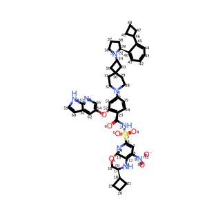 O=C(NS(=O)(=O)c1cc([N+](=O)[O-])c2c(n1)OC[C@H](C1CCC1)N2)c1ccc(N2CCC3(CC2)CC(N2CCC[C@H]2c2ccccc2C2CCC2)C3)cc1Oc1cnc2[nH]ccc2c1